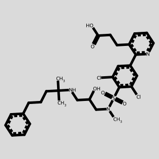 CN(CC(O)CNC(C)(C)CCCc1ccccc1)S(=O)(=O)c1c(Cl)cc(-c2ncccc2CCC(=O)O)cc1Cl